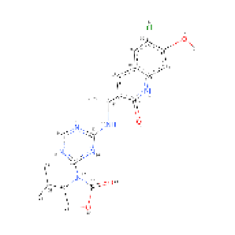 COc1cc2[nH]c(=O)c([C@@H](C)Nc3ncnc(N4C(=O)OCC4C(C)C)n3)cc2cc1Cl